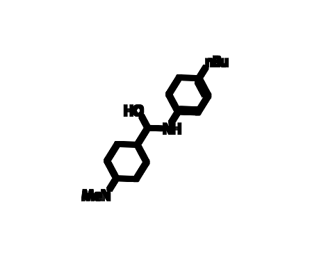 CCCCC1=CC=C(NC(O)C2CCC(NC)CC2)CC1